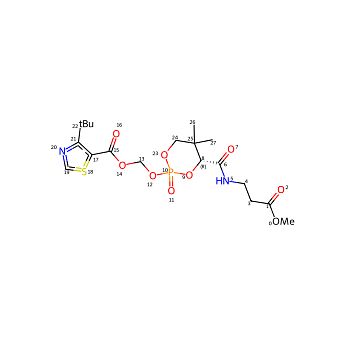 COC(=O)CCNC(=O)[C@@H]1OP(=O)(OCOC(=O)c2scnc2C(C)(C)C)OCC1(C)C